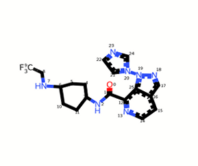 O=C(NC1CCC(NCC(F)(F)F)CC1)c1nccc2cnn(-n3ccnc3)c12